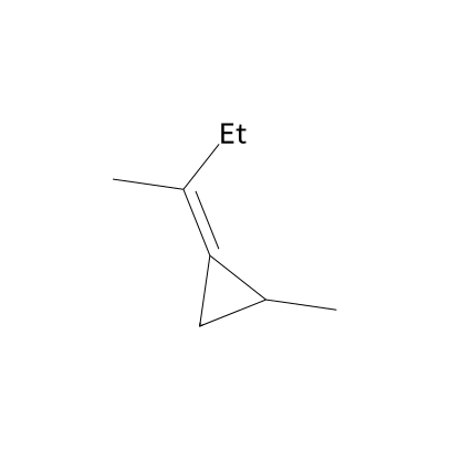 CCC(C)=C1CC1C